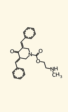 CNCCOC(=O)N1C/C(=C\c2ccccc2)C(=O)/C(=C/c2ccccc2)C1